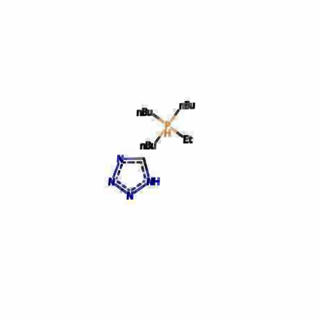 CCCC[PH](CC)(CCCC)CCCC.c1nnn[nH]1